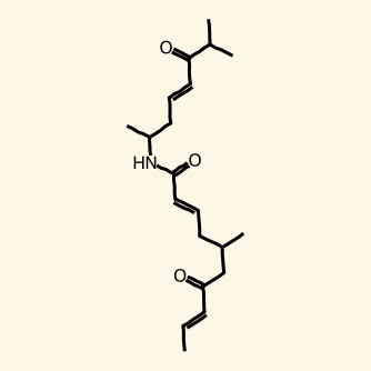 C/C=C/C(=O)CC(C)C/C=C/C(=O)NC(C)C/C=C/C(=O)C(C)C